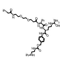 CC(C)CC(=O)NCCOCCOCCC(=O)N[C@H](C(=O)N[C@@H](CCCNC(N)O)C(=O)Nc1ccc(COC(=O)NCCNC(C)C)cc1)C(C)C